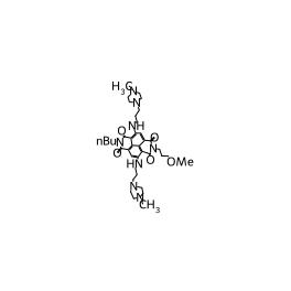 CCCCN1C(=O)c2cc(NCCCN3CCN(C)CC3)c3c4c(cc(NCCCN5CCN(C)CC5)c(c24)C1=O)C(=O)N(CCCOC)C3=O